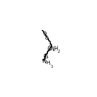 CCCOCCOCCCCCC(N)OCCCCOCCCN